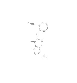 N#Cc1ccccc1Cn1c(Cl)nc2c(C(F)(F)F)csc2c1=O